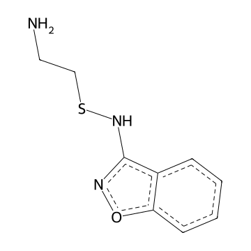 NCCSNc1noc2ccccc12